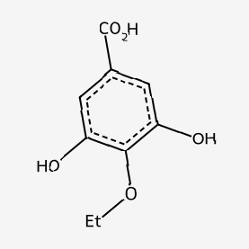 CCOc1c(O)cc(C(=O)O)cc1O